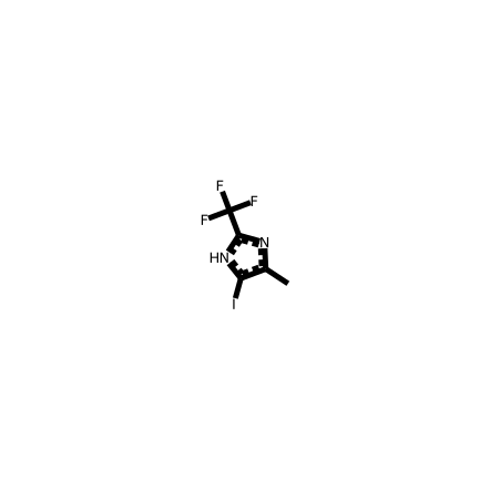 Cc1nc(C(F)(F)F)[nH]c1I